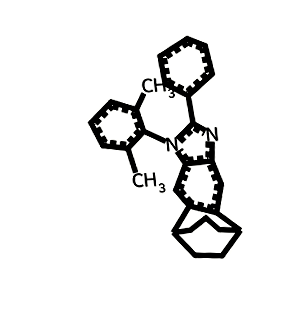 Cc1cccc(C)c1-n1c(-c2ccccc2)nc2cc3c(cc21)C1CCCC3CC1